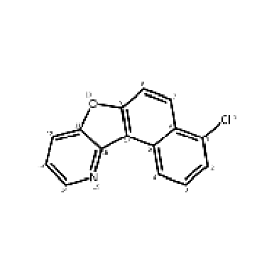 Clc1cccc2c1ccc1oc3cccnc3c12